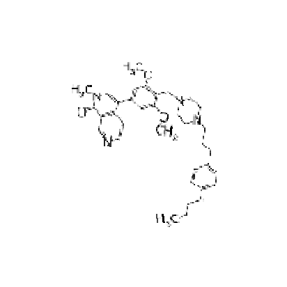 CCC[CH]c1ccc(CCCN2CCN(Cc3c(OC)cc(-c4cn(C)c(=O)c5cnccc45)cc3OC)CC2)cc1